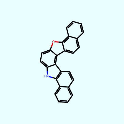 c1ccc2c(c1)ccc1c2[nH]c2ccc3oc4c5ccccc5ccc4c3c21